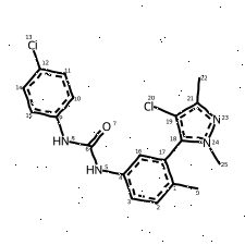 Cc1ccc(NC(=O)Nc2ccc(Cl)cc2)cc1-c1c(Cl)c(C)nn1C